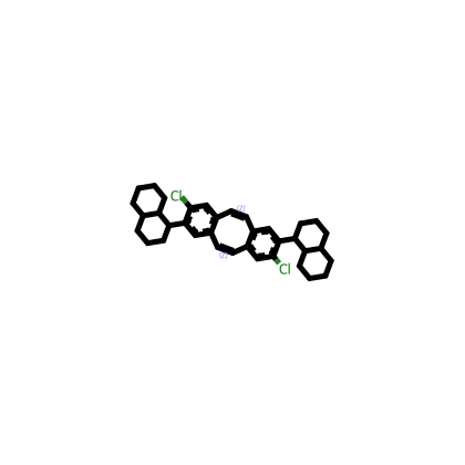 Clc1cc2c(cc1C1CCCC3CCCCC31)/C=C\c1cc(Cl)c(C3CCCC4CCCCC43)cc1/C=C\2